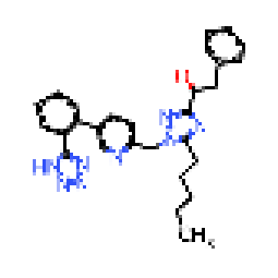 CCCCCc1nc(C(=O)Cc2ccccc2)nn1Cc1ccc(-c2ccccc2-c2nnn[nH]2)cn1